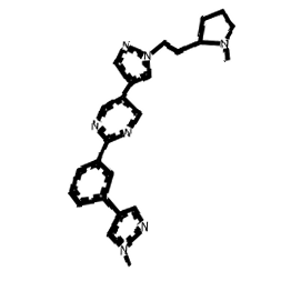 CN1CCCC1CCn1cc(-c2cnc(-c3cccc(-c4cnn(C)c4)c3)nc2)cn1